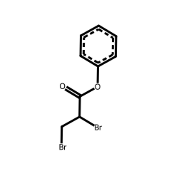 O=C(Oc1ccccc1)C(Br)CBr